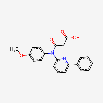 COc1ccc(N(C(=O)CC(=O)O)c2cccc(-c3ccccc3)n2)cc1